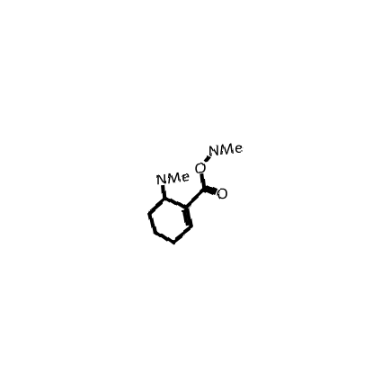 CNOC(=O)C1=CCCCC1NC